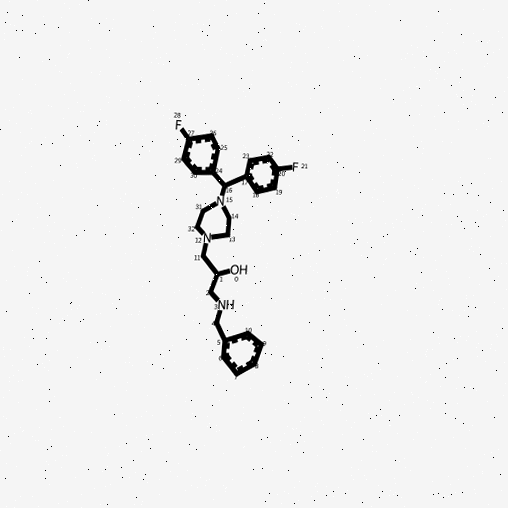 OC(CNCc1ccccc1)CN1CCN(C(c2ccc(F)cc2)c2ccc(F)cc2)CC1